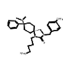 COCCCCN1C(=O)N(Cc2ccc(OC)cc2)C[C@]12CC[C@](c1ccccc1)(N(C)C)CC2